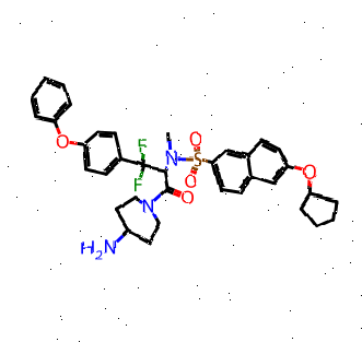 CN([C@H](C(=O)N1CCC(N)CC1)C(F)(F)c1ccc(Oc2ccccc2)cc1)S(=O)(=O)c1ccc2cc(OC3CCCC3)ccc2c1